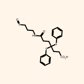 O=PCCCNC(=O)CCC(CCC(=O)O)(Sc1ccccc1)Sc1ccccc1